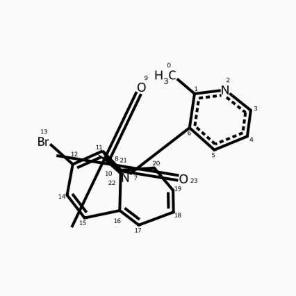 Cc1ncccc1N1C(=O)CC2=C(Br)C=CC3=CC=CCC32C1=O